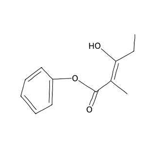 CCC(O)=C(C)C(=O)Oc1ccccc1